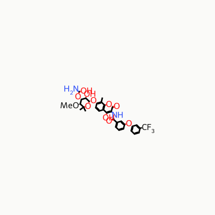 CO[C@@H]1[C@@H](OC(N)O)[C@@H](O)[C@H](Oc2ccc3c(O)c(NC(=O)c4cccc(Oc5cccc(C(F)(F)F)c5)c4)c(=O)oc3c2C)OC1(C)C